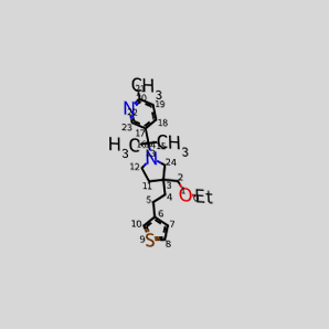 CCOCC1(CCc2ccsc2)CCN(C(C)(C)c2ccc(C)nc2)C1